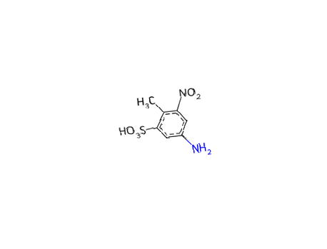 Cc1c([N+](=O)[O-])cc(N)cc1S(=O)(=O)O